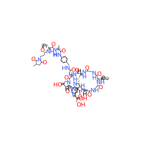 CC[C@H](C)[C@@H]1NC(=O)CNC(=O)[C@@H]2Cc3c([nH]c4ccccc34)SC[C@H](NC(=O)CNC1=O)C(=O)N[C@@H](CC(=O)NCc1ccc(NC(=O)[C@H](C)NC(=O)[C@@H](NC(=O)CCN3C(=O)CC(C)C3=O)C(C)C)cc1)C(=O)N1C[C@H](O)C[C@H]1C(=O)N[C@@H]([C@@H](C)[C@@H](O)CO)C(=O)N2